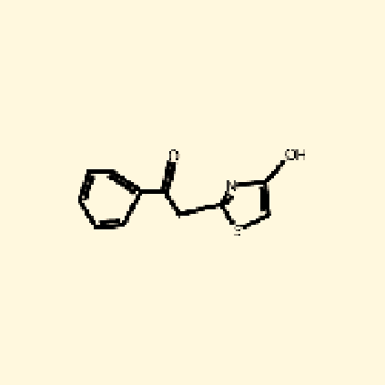 O=C(Cc1nc(O)cs1)c1ccccc1